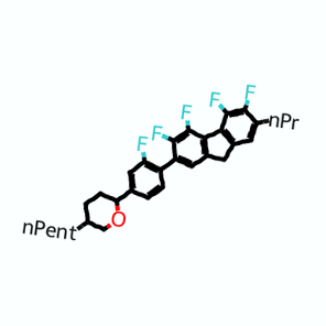 CCCCCC1CCC(c2ccc(-c3cc4c(c(F)c3F)-c3c(cc(CCC)c(F)c3F)C4)c(F)c2)OC1